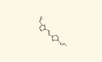 Cc1ccc(C=Cc2ccc(C=O)s2)s1